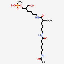 COP(=O)(O)OCC(CO)CCCCNC(=O)[C@H](CCCCNC(=O)CCCCCNC(=O)C(C)C)NC(C)=O